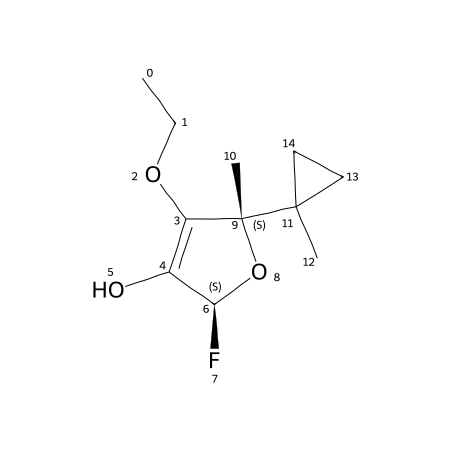 CCOC1=C(O)[C@H](F)O[C@@]1(C)C1(C)CC1